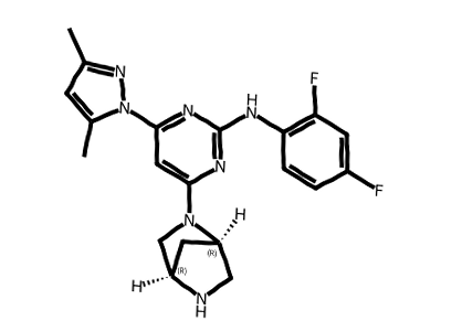 Cc1cc(C)n(-c2cc(N3C[C@H]4C[C@@H]3CN4)nc(Nc3ccc(F)cc3F)n2)n1